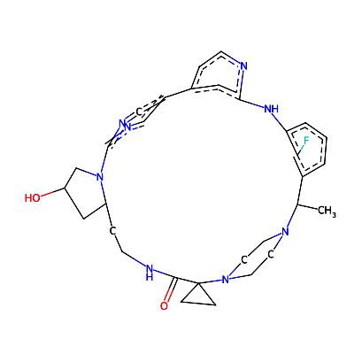 CC1c2cccc(c2F)Nc2cc(ccn2)-c2cnc(nc2)N2CC(O)CC2CCNC(=O)C2(CC2)N2CCN1CC2